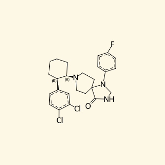 O=C1NCN(c2ccc(F)cc2)C12CCN([C@@H]1CCCC[C@@H]1c1ccc(Cl)c(Cl)c1)CC2